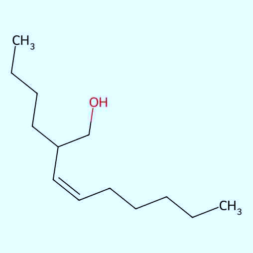 CCCCC/C=C\C(CO)CCCC